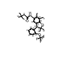 Cc1c(NC(=O)CC(C)(C)C)cc2c(c1C)OC(C)(C)C2c1ccccc1OC(F)(F)F